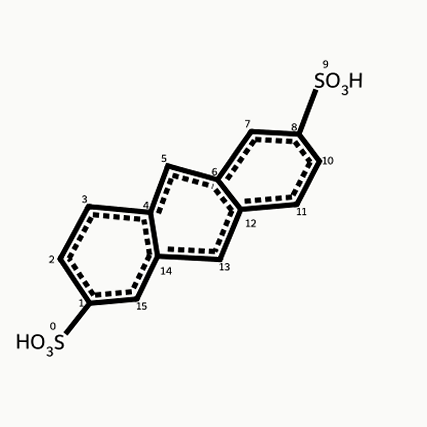 O=S(=O)(O)c1ccc2cc3cc(S(=O)(=O)O)ccc3cc2c1